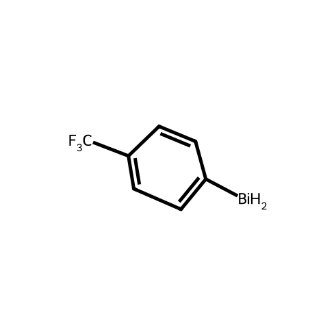 FC(F)(F)c1cc[c]([BiH2])cc1